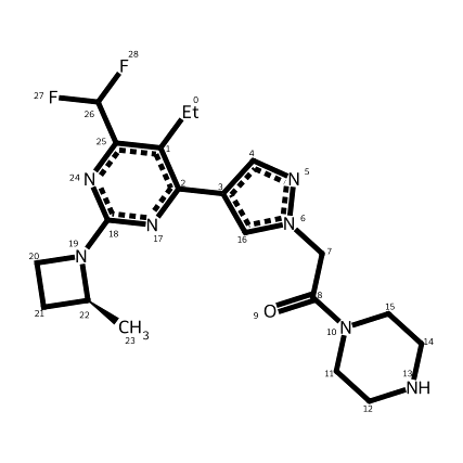 CCc1c(-c2cnn(CC(=O)N3CCNCC3)c2)nc(N2CC[C@@H]2C)nc1C(F)F